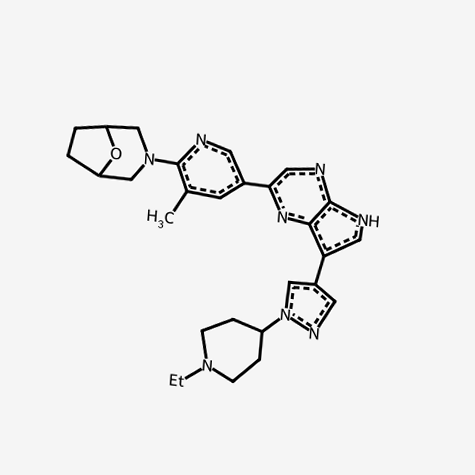 CCN1CCC(n2cc(-c3c[nH]c4ncc(-c5cnc(N6CC7CCC(C6)O7)c(C)c5)nc34)cn2)CC1